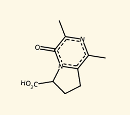 Cc1nc(C)c(=O)n2c1CCC2C(=O)O